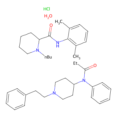 CCC(=O)N(c1ccccc1)C1CCN(CCc2ccccc2)CC1.CCCCN1CCCCC1C(=O)Nc1c(C)cccc1C.Cl.O